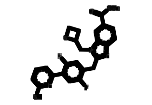 COC(=O)c1ccc2nc(Cc3cc(F)c(-c4cccc(O)n4)cc3F)n(CC3CCO3)c2c1